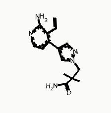 C=Cc1c(-c2cnn(CC(C)(C)C(N)=O)c2)ccnc1N